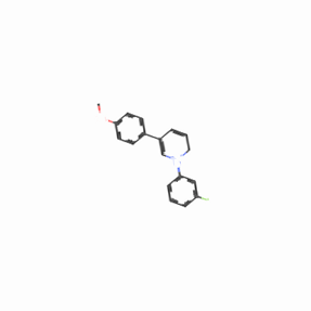 COc1ccc(C2=CN(c3cccc(F)c3)CC=C2)cc1